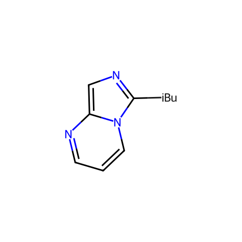 CCC(C)c1ncc2ncccn12